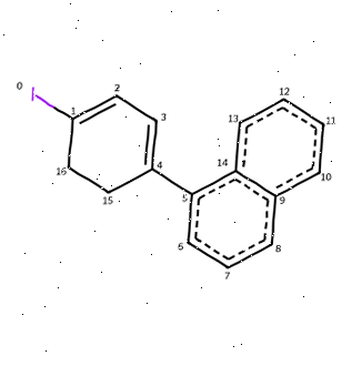 IC1=CC=C(c2cccc3ccccc23)CC1